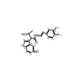 CC(O)C(C(=O)N/C=C/c1ccc(F)c(F)c1)c1csc2ccc(Cl)cc12